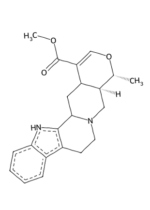 COC(=O)C1=CO[C@H](C)[C@H]2CN3CCc4c([nH]c5ccccc45)C3CC12